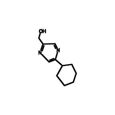 OCc1cnc(C2CCCCC2)cn1